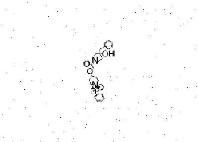 O=C(COC1CCN(S(=O)(=O)c2ccccc2)CC1)N1CCC(O)(Cc2ccccc2)CC1